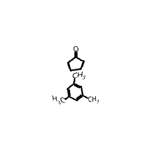 Cc1cc(C)cc(C)c1.O=C1CCCC1